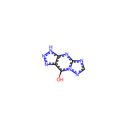 Oc1c2nn[nH]c2nc2ncnn12